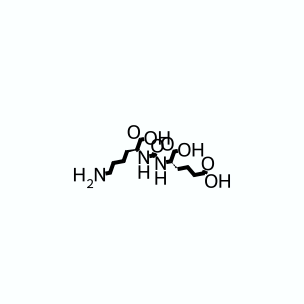 NCCCC[C@H](NC(=O)N[C@@H](CCCC(=O)O)C(=O)O)C(=O)O